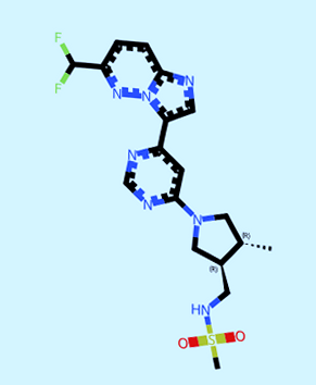 C[C@H]1CN(c2cc(-c3cnc4ccc(C(F)F)nn34)ncn2)C[C@@H]1CNS(C)(=O)=O